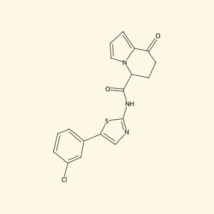 O=C1CCC(C(=O)Nc2ncc(-c3cccc(Cl)c3)s2)n2cccc21